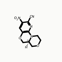 N#Cc1nc2c(cc1[N+](=O)[O-])OC[C@@H]1COCCN21